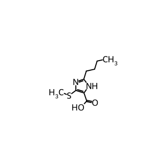 CCCCc1nc(SC)c(C(=O)O)[nH]1